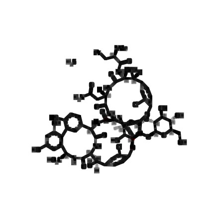 CN[C@H](CC(C)C)C(=O)N[C@H]1C(=O)N[C@@H](CC(N)=O)C(=O)N[C@H]2C(=O)N[C@H]3C(=O)N[C@H](C(=O)N[C@@H](C(=O)O)c4cc(O)cc(O)c4-c4cc3ccc4O)[C@H](O)c3ccc(c(Cl)c3)Oc3cc2cc(c3O[C@@H]2O[C@H](CO)[C@@H](O)[C@H](O)[C@H]2O[C@H]2C[C@](C)(N)C(O)[C@H](C)O2)Oc2ccc(cc2Cl)[C@H]1O.S